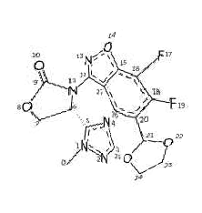 Cn1ncnc1[C@@H]1COC(=O)N1c1noc2c(F)c(F)c(C3OCCO3)cc12